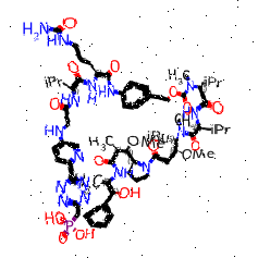 CC[C@H](C)[C@@H]([C@@H](CC(=O)N1CCC[C@H]1[C@H](OC)[C@@H](C)C(=O)N[C@H](C)[C@@H](O)c1ccccc1)OC)N(C)C(=O)[C@@H](NC(=O)[C@H](C(C)C)N(C)C(=O)OCc1ccc(NC(=O)[C@H](CCCNC(N)=O)NC(=O)[C@@H](NC(=O)CNc2ccc(-c3nnc(CP(=O)(O)O)nn3)nc2)C(C)C)cc1)C(C)C